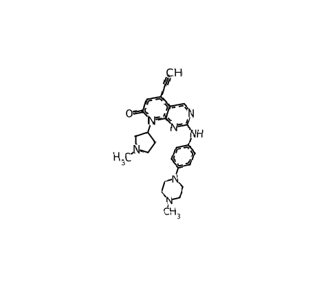 C#Cc1cc(=O)n(C2CCN(C)C2)c2nc(Nc3ccc(N4CCN(C)CC4)cc3)ncc12